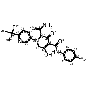 NC(=S)N1C(=O)C(C(=O)Nc2ccc(F)cc2)=C(O)CN1c1ccc(C(F)(F)F)nc1